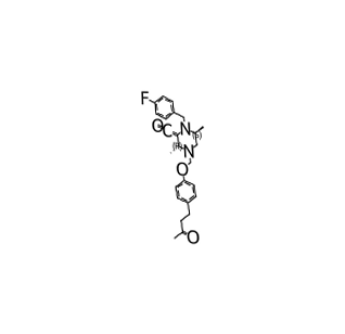 CC(=O)CCc1ccc(OCN2C[C@H](C)N(Cc3ccc(F)cc3)C(=C=O)[C@H]2C)cc1